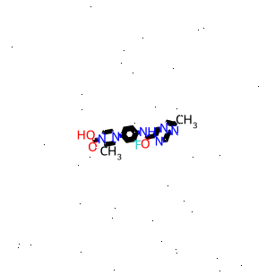 Cc1cn2cc(C(=O)Nc3ccc(N4CCN(C(=O)O)[C@H](C)C4)cc3F)ncc2n1